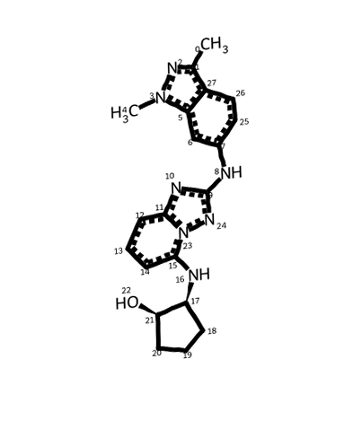 Cc1nn(C)c2cc(Nc3nc4cccc(N[C@H]5CCC[C@H]5O)n4n3)ccc12